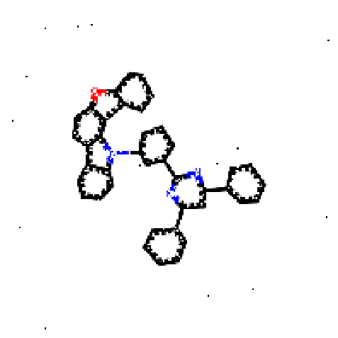 c1ccc(-c2cc(-c3ccccc3)nc(-c3cccc(-n4c5ccccc5c5ccc6oc7ccccc7c6c54)c3)n2)cc1